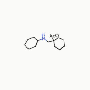 CC(=O)OC1(CNC2CCCCC2)CCCCC1